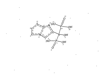 O=P(O)(O)C(O)(c1cn2ccsc2n1)P(=O)(O)O